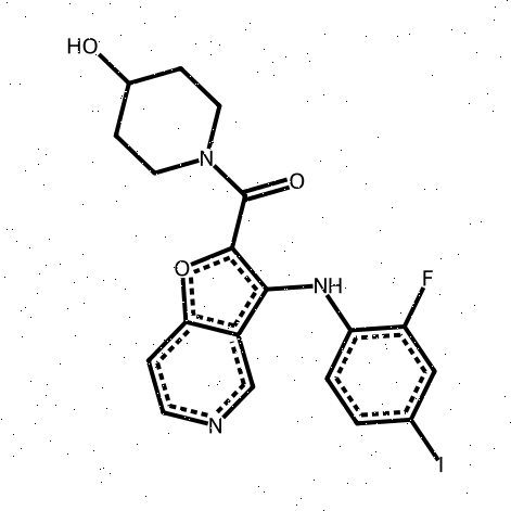 O=C(c1oc2ccncc2c1Nc1ccc(I)cc1F)N1CCC(O)CC1